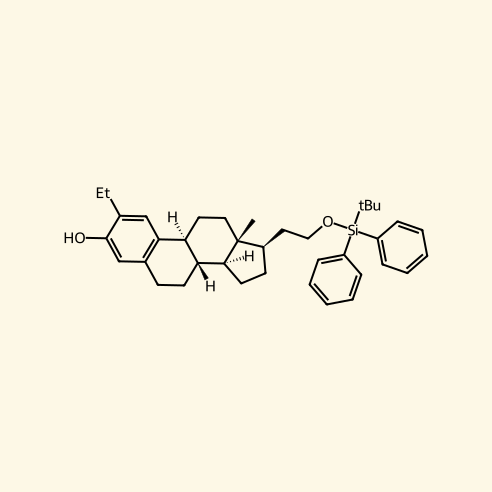 CCc1cc2c(cc1O)CC[C@@H]1[C@@H]2CC[C@]2(C)[C@@H](CCO[Si](c3ccccc3)(c3ccccc3)C(C)(C)C)CC[C@@H]12